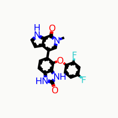 Cn1cc(-c2ccc3[nH]c(=O)[nH]c3c2Oc2ccc(F)cc2F)c2cc[nH]c2c1=O